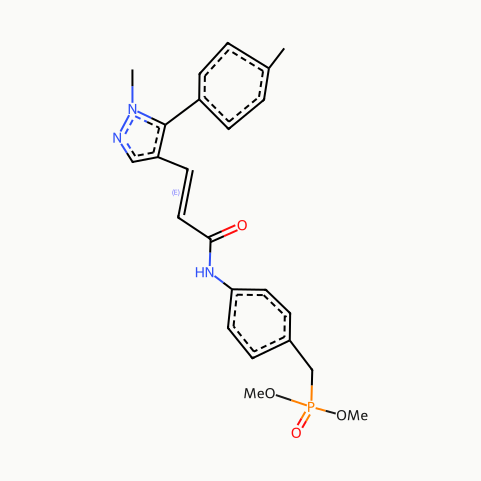 COP(=O)(Cc1ccc(NC(=O)/C=C/c2cnn(C)c2-c2ccc(C)cc2)cc1)OC